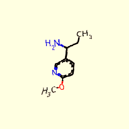 CCC(N)c1ccc(OC)nc1